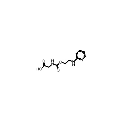 O=C(O)CNC(=O)OCCNc1ccccn1